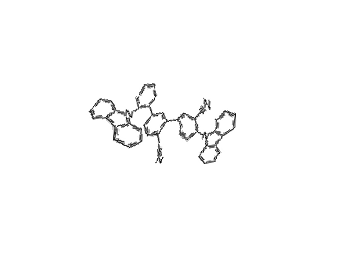 N#Cc1ccc(-c2ccccc2-n2c3ccccc3c3ccccc32)cc1-c1ccc(-n2c3ccccc3c3ccccc32)c(C#N)c1